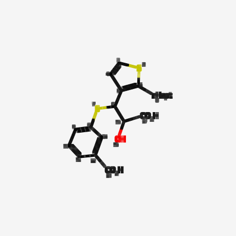 CCCCCCCc1sccc1C(Sc1cccc(C(=O)O)c1)C(O)C(=O)O